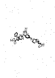 CNC.O=C(O)c1cc2cnc(Nc3ccc(N4CCN(CCCO)CC4)cn3)nc2n1C1CCCC1